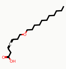 CCCCCCCCCCCOCCC=C=CCC(=O)O